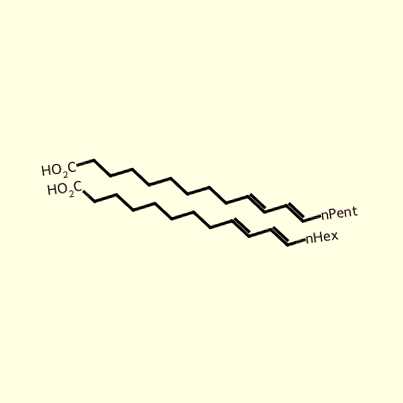 CCCCC/C=C/C=C/CCCCCCCCC(=O)O.CCCCCC/C=C/C=C/CCCCCCCC(=O)O